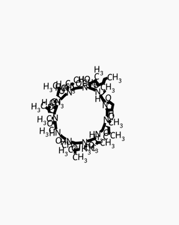 C/C=C/C[C@@H](C)[C@@H](O)[C@H]1C(=O)N[C@@H](CC)C(=O)N2CCC[C@@H]2C(=O)N(C)[C@@H](CC(C)C)C(=O)N[C@@H](C(C)C)C(=O)N(C)[C@@H](CC(C)C)C(=O)N[C@@H](C)C(=O)N[C@H](C)C(=O)N(C)[C@@H](CC(C)C)C(=O)N(C)[C@@H](CC(C)C)C(=O)N(C)[C@@H](C(C)C)C(=O)N1C